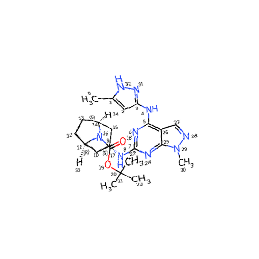 Cc1cc(Nc2nc(N[C@@H]3C[C@H]4CC[C@@H](C3)N4C(=O)OC(C)(C)C)nc3c2cnn3C)n[nH]1